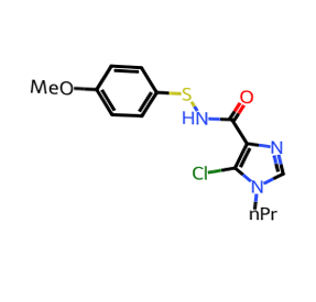 CCCn1cnc(C(=O)NSc2ccc(OC)cc2)c1Cl